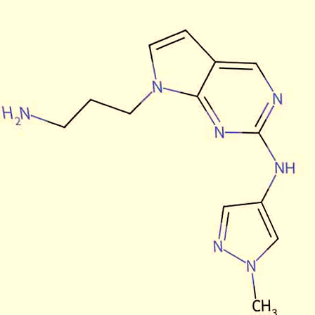 Cn1cc(Nc2ncc3ccn(CCCN)c3n2)cn1